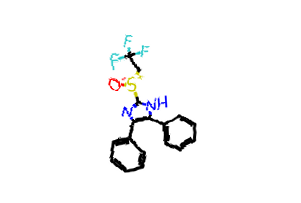 [O-][S+](CC(F)(F)F)c1nc(-c2ccccc2)c(-c2ccccc2)[nH]1